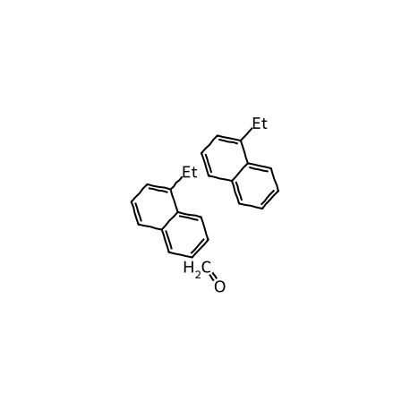 C=O.CCc1cccc2ccccc12.CCc1cccc2ccccc12